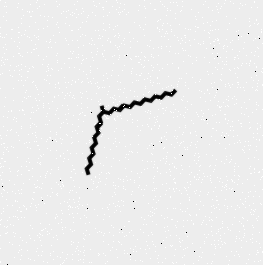 CCCCCCCCCC=CCC(C)CCC=CCCCCCCCCCC